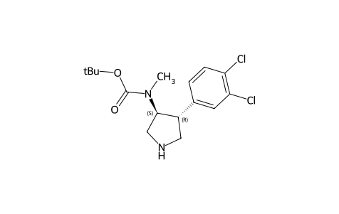 CN(C(=O)OC(C)(C)C)[C@@H]1CNC[C@H]1c1ccc(Cl)c(Cl)c1